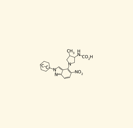 CC1CN(c2c([N+](=O)[O-])ccc3nn(C45CCC(CC4)CC5)cc23)CC1NC(=O)O